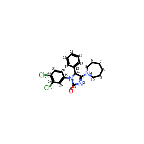 O=C1N=C(N2CCCCCC2)C(c2ccccc2)N1c1ccc(Cl)c(Cl)c1